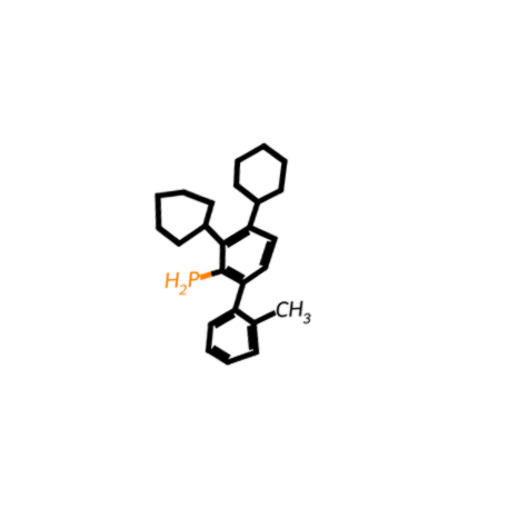 Cc1ccccc1-c1ccc(C2CCCCC2)c(C2CCCCC2)c1P